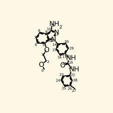 COCCOc1cccc2c(N)nn(-c3ccc(NC(=O)Nc4cccc(C)c4)cc3)c12